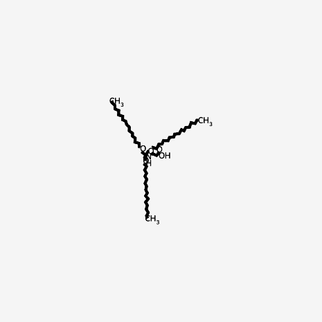 CCCCCCCCCCCCCCCCCCOCC(COCCCCCCCCCCCCCCCCCC)(COCCCCCCCCCCCCCCCCCC)NCCC(=O)O